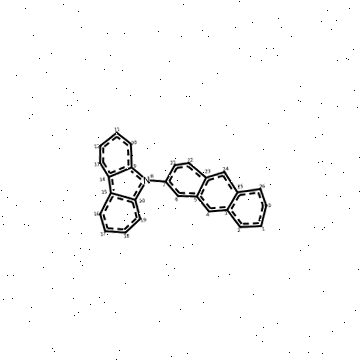 c1ccc2cc3cc(-n4c5ccccc5c5ccccc54)ccc3cc2c1